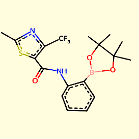 Cc1nc(C(F)(F)F)c(C(=O)Nc2ccccc2B2OC(C)(C)C(C)(C)O2)s1